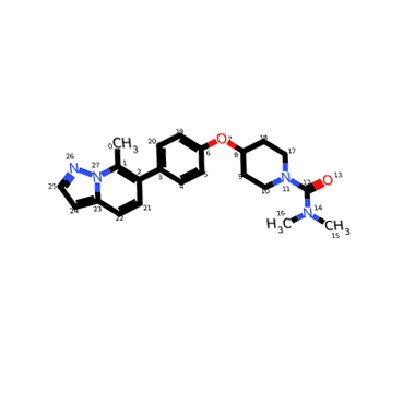 Cc1c(-c2ccc(OC3CCN(C(=O)N(C)C)CC3)cc2)ccc2ccnn12